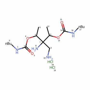 CCCCNC(=O)OC(C)C(N)(CN)C(C)OC(=O)NCCCC.Cl.Cl